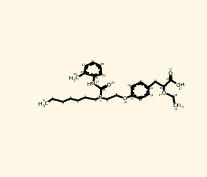 CCCCCCCN(CCOc1ccc(CC(OCC)C(=O)O)cc1)C(=O)Nc1ccccc1C